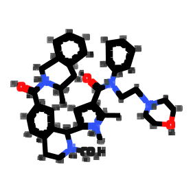 Cc1c(C(=O)N(CCN2CCOCC2)c2ccccc2)cc(C2c3cc(C(=O)N4Cc5ccccc5C[C@H]4C)ccc3CCN2C(=O)O)n1C